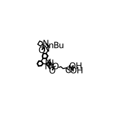 CCCCC1=NC2(CCCC2)C(=O)N1Cc1ccc(-c2ccccc2-c2nnn(C(=O)OCCCCON(O)O)n2)cc1